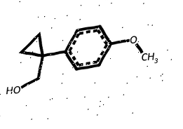 COc1ccc(C2(CO)CC2)cc1